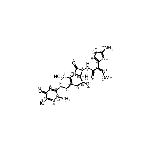 CO/N=C(\C(=O)N[C@@H]1C(=O)N2C(C(=O)O)=C(CSc3nc(=O)c(O)nn3C)C[S+]([O-])[C@H]12)c1c[se]c(N)n1